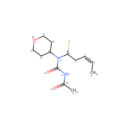 C/C=C\CC(F)N(C(=O)NC(C)=O)C1CCOCC1